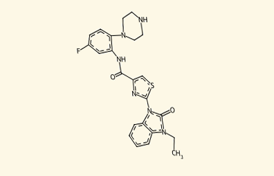 CCn1c(=O)n(-c2nc(C(=O)Nc3cc(F)ccc3N3CCNCC3)cs2)c2ccccc21